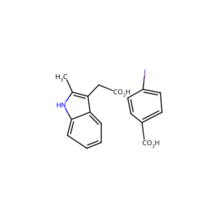 Cc1[nH]c2ccccc2c1CC(=O)O.O=C(O)c1ccc(I)cc1